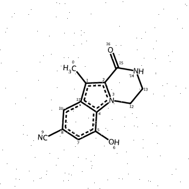 Cc1c2n(c3c(O)cc(C#N)cc13)CCNC2=O